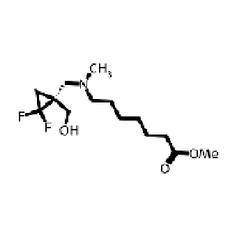 COC(=O)CCCCCCN(C)C[C@@]1(CO)CC1(F)F